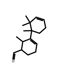 CC1C(C2(C)CCC=CC2(C)C)=CCCC1C=O